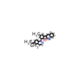 Cc1cc(-c2nccc3cc(C(C)C)ccc23)c2oc3nc4ccccc4cc3c2c1